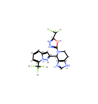 FC(F)c1nnc(N2CCc3[nH]cnc3C2c2cc3cccc(C(F)(F)F)n3n2)o1